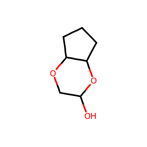 OC1COC2CCCC2O1